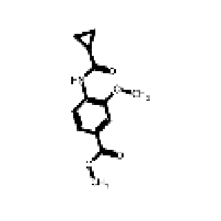 COC(=O)c1ccc(NC(=O)C2CC2)c(OC)c1